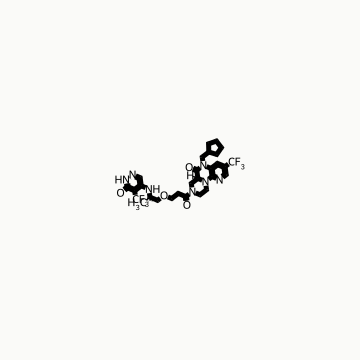 C[C@@H](COCCC(=O)N1CCN2c3ncc(C(F)(F)F)cc3N(CC3CCCC3)C(=O)[C@@H]2C1)Nc1cn[nH]c(=O)c1C(F)(F)F